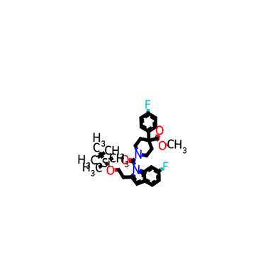 COC(=O)C1(c2ccc(F)cc2)CCN(C(=O)n2c(CCO[Si](C)(C)C(C)(C)C)cc3ccc(F)cc32)CC1